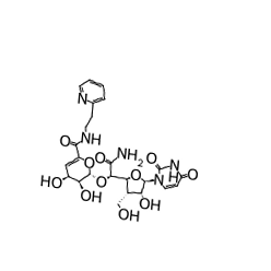 NC(=O)[C@H](O[C@H]1OC(C(=O)NCCc2ccccn2)=C[C@H](O)[C@@H]1O)[C@H]1O[C@@H](n2ccc(=O)[nH]c2=O)[C@H](O)[C@@H]1CO